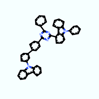 c1ccc(-c2nc(-c3ccc(-c4cccc(-n5c6ccccc6c6ccccc65)c4)cc3)nc(-c3cccc4c3c3ccccc3n4-c3ccccc3)n2)cc1